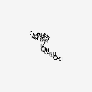 CC1(C)O[C@@H]2[C@H](O1)[C@@H](COc1ccc3ccc(NCc4ccc(Cl)cc4)nc3c1)O[C@H]2n1ccc2c(Cl)ncnc21